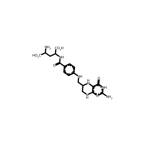 Nc1nc2c(c(=O)[nH]1)NC(CNc1ccc(C(=O)NC(CC(N)C(=O)O)C(=O)O)cc1)CN2